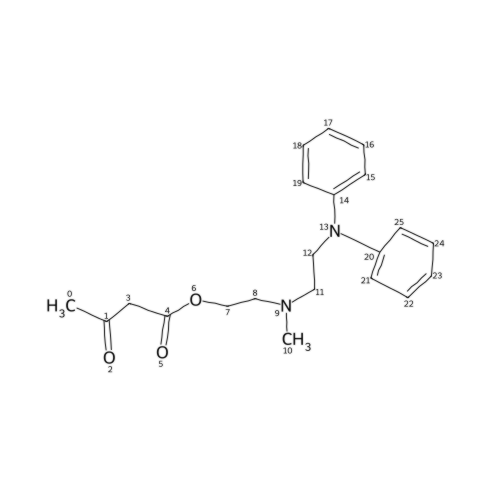 CC(=O)CC(=O)OCCN(C)CCN(c1ccccc1)c1ccccc1